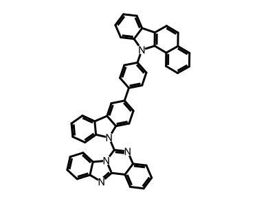 c1ccc2c(c1)ccc1c3ccccc3n(-c3ccc(-c4ccc5c(c4)c4ccccc4n5-c4nc5ccccc5c5nc6ccccc6n45)cc3)c21